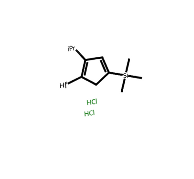 CC(C)C1=[C]([Hf])CC([Si](C)(C)C)=C1.Cl.Cl